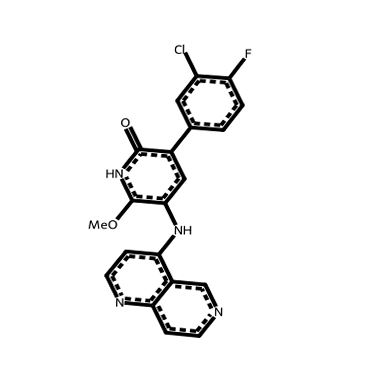 COc1[nH]c(=O)c(-c2ccc(F)c(Cl)c2)cc1Nc1ccnc2ccncc12